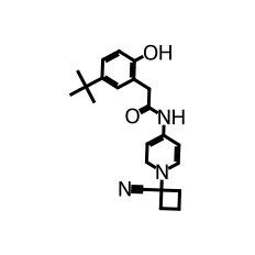 CC(C)(C)c1ccc(O)c(CC(=O)NC2=CCN(C3(C#N)CCC3)C=C2)c1